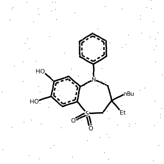 CCCCC1(CC)CN(c2ccccc2)c2cc(O)c(O)cc2S(=O)(=O)C1